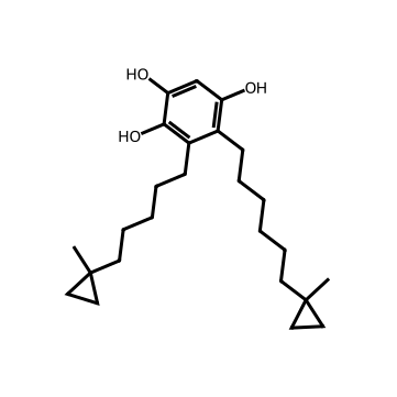 CC1(CCCCCCc2c(O)cc(O)c(O)c2CCCCCC2(C)CC2)CC1